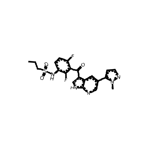 CCCS(=O)(=O)Nc1ccc(F)c(C(=O)c2c[nH]c3ncc(-c4ccnn4C)cc23)c1F